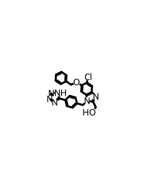 OCc1nc2cc(Cl)c(OCc3ccccc3)cc2n1Cc1ccc(-c2nnn[nH]2)cc1